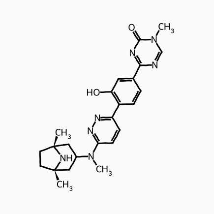 CN(c1ccc(-c2ccc(-c3ncn(C)c(=O)n3)cc2O)nn1)C1C[C@]2(C)CC[C@](C)(C1)N2